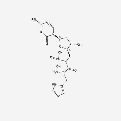 Nc1ccn([C@H]2CC(O)[C@@H](CN(C(=O)[C@@H](N)Cc3cnc[nH]3)P(=O)(O)O)O2)c(=O)n1